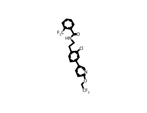 O=C(NCCc1ccc(-c2ccc(OCC(F)(F)F)nc2)cc1Cl)c1ccccc1C(F)(F)F